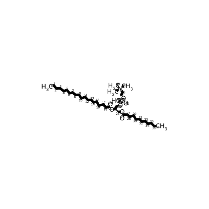 CCCCCCCCCCCCCCCCCCCC(=O)O[C@H](COC(=O)CCCCCCCCCCC)COP(=O)(O)OCC[N+](C)(C)C